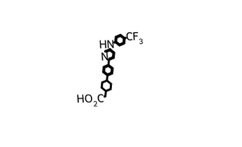 O=C(O)CC1CCC(c2ccc(-c3ccc(Nc4ccc(C(F)(F)F)cc4)cn3)cc2)CC1